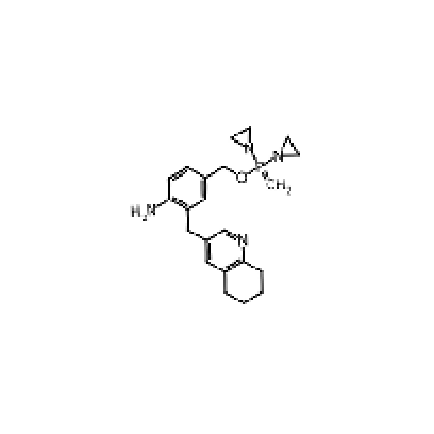 C=P(OCc1ccc(N)c(Cc2cnc3c(c2)CCCC3)c1)(N1CC1)N1CC1